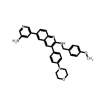 COc1ccc(CNc2nc3ccc(-c4cncc(N)c4)cc3cc2-c2ccc(N3CCOCC3)cc2)cc1